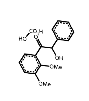 COc1cccc(C(=O)C(O)c2ccccc2)c1OC.O=C(O)O